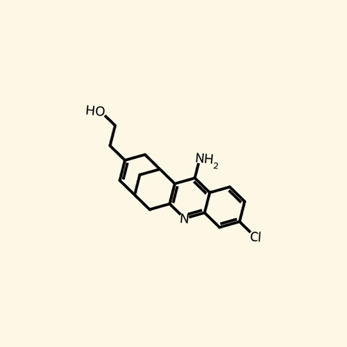 Nc1c2c(nc3cc(Cl)ccc13)CC1C=C(CCO)CC2C1